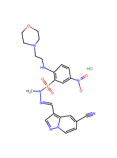 CN(N=Cc1cnn2ccc(C#N)cc12)S(=O)(=O)c1cc([N+](=O)[O-])ccc1NCCN1CCOCC1.Cl